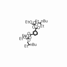 CCCCC(CC)COC(COCC)(OCC)OC(=O)c1cccc(C(=O)OC(COCC)(OCC)OCC(CC)CCCC)c1